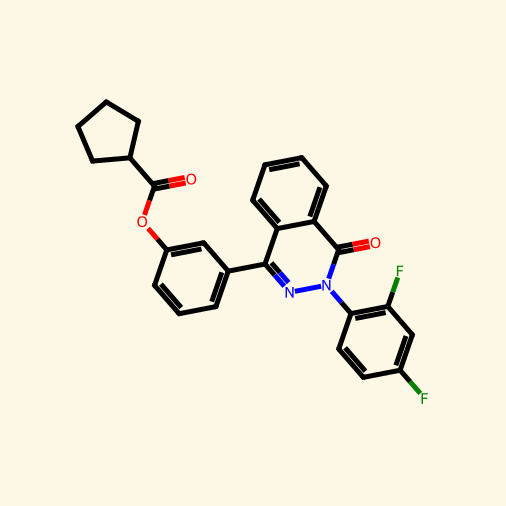 O=C(Oc1cccc(-c2nn(-c3ccc(F)cc3F)c(=O)c3ccccc23)c1)C1CCCC1